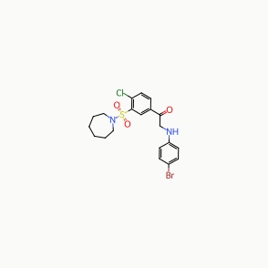 O=C(CNc1ccc(Br)cc1)c1ccc(Cl)c(S(=O)(=O)N2CCCCCC2)c1